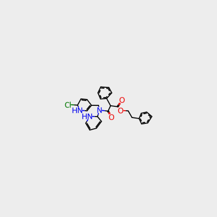 O=C(OCCc1ccccc1)C(C(=O)N(CC1=CNC(Cl)C=C1)C1C=CC=CN1)c1ccccc1